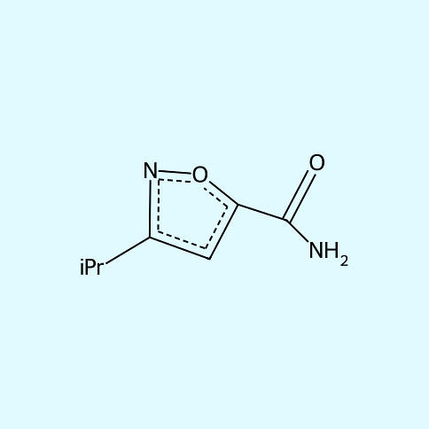 CC(C)c1cc(C(N)=O)on1